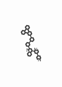 c1cc(-c2cccc(-c3cc(-c4cc(-c5ccncc5)ccn4)c4ccccc4n3)c2)cc(-c2ccc3c4ccccc4c4ccccc4c3c2)c1